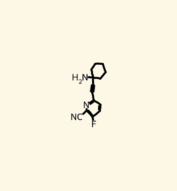 N#Cc1nc(C#CC2(N)CCCCC2)ccc1F